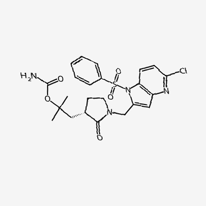 CC(C)(C[C@@H]1CCN(Cc2cc3nc(Cl)ccc3n2S(=O)(=O)c2ccccc2)C1=O)OC(N)=O